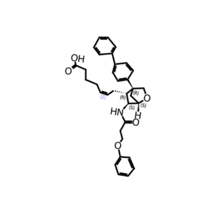 O=C(O)CCC/C=C\C[C@H]1[C@H](NC(=O)CCOc2ccccc2)[C@@H]2C[C@@]1(c1ccc(-c3ccccc3)cc1)CO2